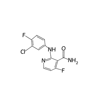 NC(=O)c1c(F)ccnc1Nc1ccc(F)c(Cl)c1